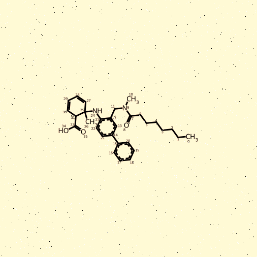 CCCCCCCC(=O)N(C)Cc1cc(-c2ccccc2)ccc1NC1(C)C=CC=CC1C(=O)O